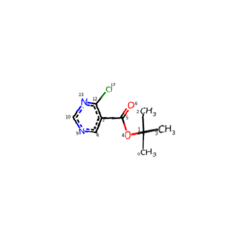 CC(C)(C)OC(=O)c1cncnc1Cl